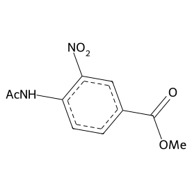 COC(=O)c1ccc(NC(C)=O)c([N+](=O)[O-])c1